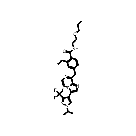 CCCOCCNC(=O)c1ccc(Cc2nccn3c(-c4cn(C(C)C)nc4C(F)(F)F)cnc23)cc1CC